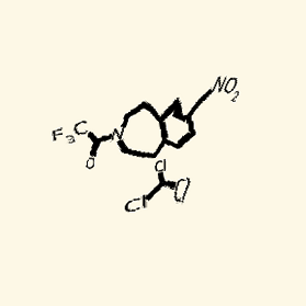 ClC(Cl)Cl.O=C(N1CCc2ccc([N+](=O)[O-])cc2CC1)C(F)(F)F